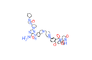 CN(C(=O)c1cc(N2CCC(CN3CCc4cc(Nc5nc(N6CCCC(N7CCN(C8CCCC8)C7=O)C6)cnc5C(N)=O)ccc4C3)CC2)ccc1C=O)C1CCC(=O)NC1=O